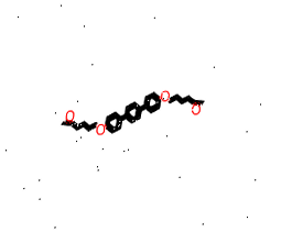 c1cc(-c2ccc(-c3ccc(OCCCCC4CO4)cc3)cc2)ccc1OCCCCC1CO1